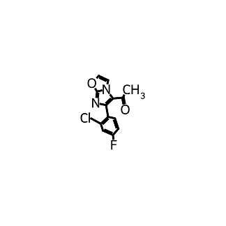 CC(=O)c1c(-c2ccc(F)cc2Cl)nc2occn12